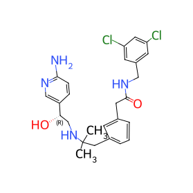 CC(C)(Cc1cccc(CC(=O)NCc2cc(Cl)cc(Cl)c2)c1)NC[C@H](O)c1ccc(N)nc1